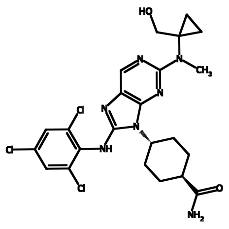 CN(c1ncc2nc(Nc3c(Cl)cc(Cl)cc3Cl)n([C@H]3CC[C@H](C(N)=O)CC3)c2n1)C1(CO)CC1